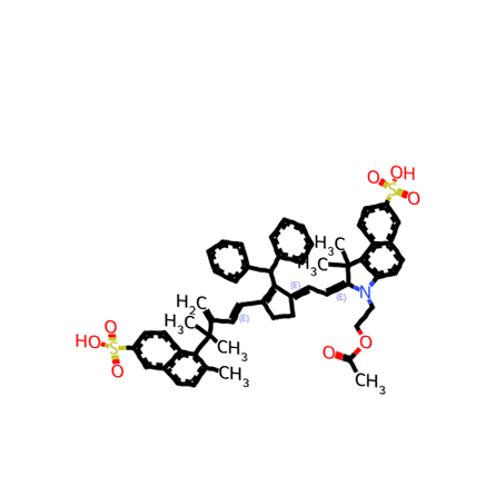 C=C(/C=C/C1=C(C(c2ccccc2)c2ccccc2)C(=C/C=C2/N(CCOC(C)=O)c3ccc4cc(S(=O)(=O)O)ccc4c3C2(C)C)/CC1)C(C)(C)c1c(C)ccc2cc(S(=O)(=O)O)ccc12